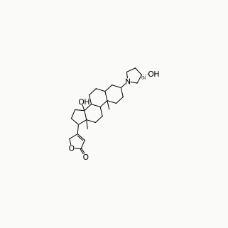 CC12CCC(N3CC[C@H](O)C3)CC1CCC1C2CCC2(C)C(C3=CC(=O)OC3)CCC12O